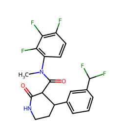 CN(C(=O)C1C(=O)NCCC1c1cccc(C(F)F)c1)c1ccc(F)c(F)c1F